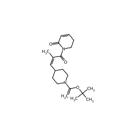 C=C(OC(C)(C)C)N1CCC(/C=C(/C)C(=O)N2CCC=CC2=O)CC1